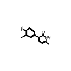 Cc1ccc(-c2ccc(F)c(C)c2)c(=O)[nH]1